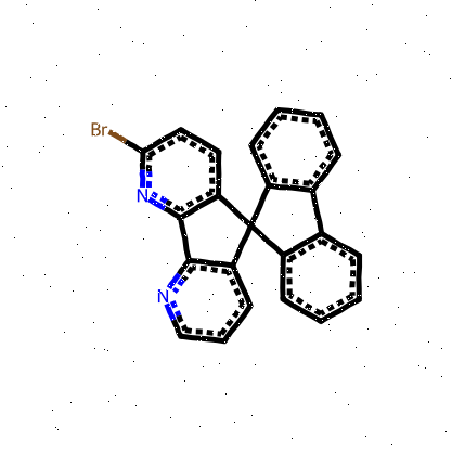 Brc1ccc2c(n1)-c1ncccc1C21c2ccccc2-c2ccccc21